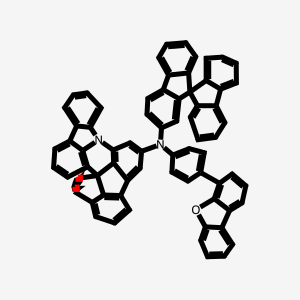 c1ccc2c(c1)-c1ccccc1C21c2ccccc2-c2ccc(N(c3ccc(-c4cccc5c4oc4ccccc45)cc3)c3cc4c5c(c3)-n3c6ccccc6c6cccc(c63)C53c5ccccc5-c5cccc-4c53)cc21